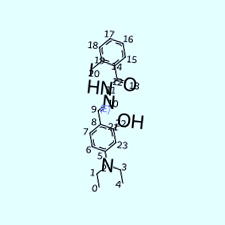 CCN(CC)c1ccc(/C=N/NC(=O)c2ccccc2I)c(O)c1